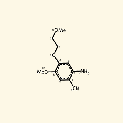 COCCOc1cc(N)c(C#N)cc1OC